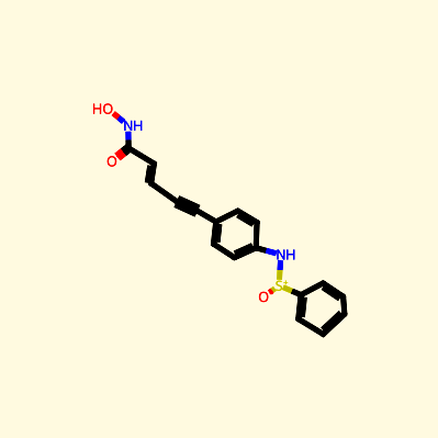 O=C(/C=C/C#Cc1ccc(N[S+]([O-])c2ccccc2)cc1)NO